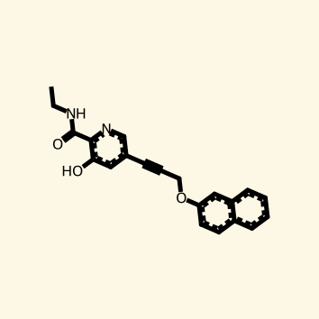 CCNC(=O)c1ncc(C#CCOc2ccc3ccccc3c2)cc1O